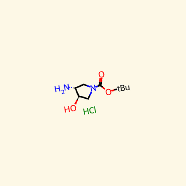 CC(C)(C)OC(=O)N1C[C@@H](N)[C@H](O)C1.Cl